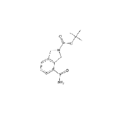 CC(C)(C)OC(=O)N1Cc2cccc(C(N)=O)c2C1